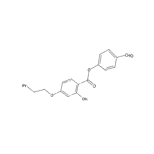 CC(C)CCOc1ccc(C(=O)Oc2ccc(C=O)cc2)c(O)c1